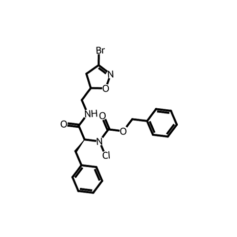 O=C(NCC1CC(Br)=NO1)[C@H](Cc1ccccc1)N(Cl)C(=O)OCc1ccccc1